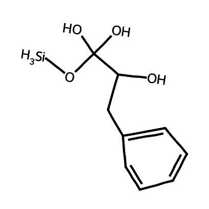 OC(Cc1ccccc1)C(O)(O)O[SiH3]